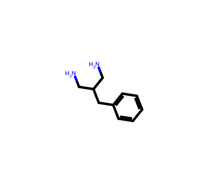 NCC(CN)Cc1ccccc1